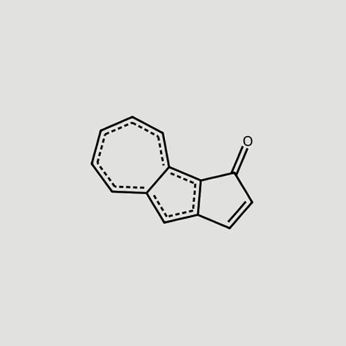 O=C1C=Cc2cc3cccccc-3c21